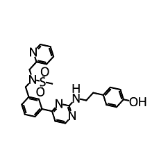 CS(=O)(=O)N(Cc1cccc(-c2ccnc(NCCc3ccc(O)cc3)n2)c1)Cc1ccccn1